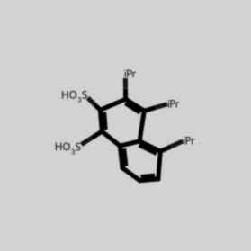 CC(C)c1c(S(=O)(=O)O)c(S(=O)(=O)O)c2cccc(C(C)C)c2c1C(C)C